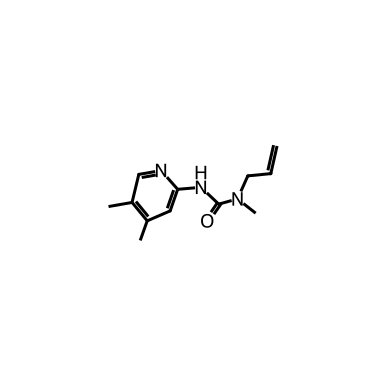 C=CCN(C)C(=O)Nc1cc(C)c(C)cn1